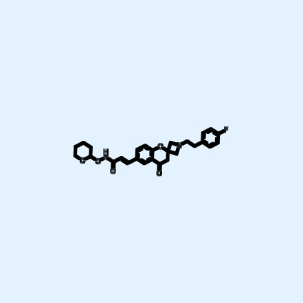 O=C(C=Cc1ccc2c(c1)C(=O)CC1(CN(CCc3ccc(F)cc3)C1)O2)NOC1CCCCO1